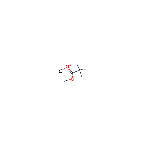 [CH2-]/[O+]=C(\OC)C(C)(C)C